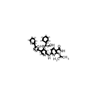 CC(C)n1[nH]c(=O)c2ccc(Nc3cc(N[C@H](CO)c4ccccc4)c(-c4nnc(-c5ccccn5)o4)cn3)nc21